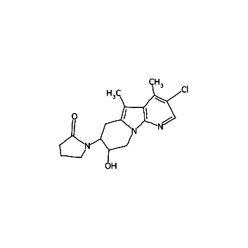 Cc1c(Cl)cnc2c1c(C)c1n2CC(O)C(N2CCCC2=O)C1